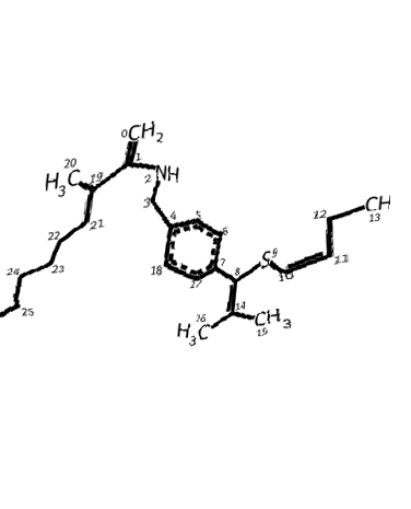 C=C(NCc1ccc(C(S/C=C\CC)=C(C)C)cc1)C(C)CCCCCC